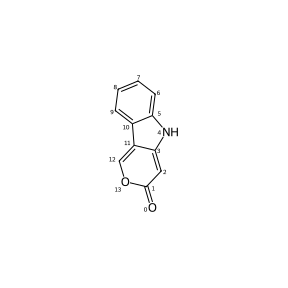 O=c1cc2[nH]c3ccccc3c2co1